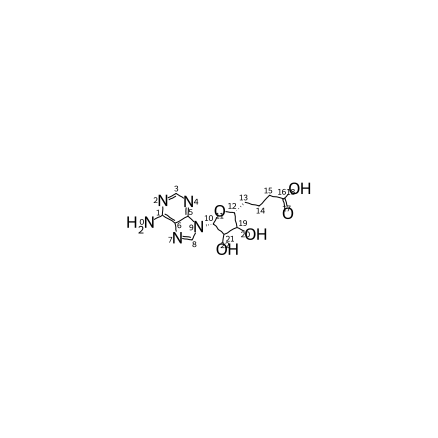 Nc1ncnc2c1ncn2[C@@H]1O[C@H](CCCC(=O)O)C(O)C1O